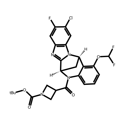 CC(C)(C)OC(=O)N1CC(C(=O)N2c3cccc(OC(F)F)c3[C@H]3C[C@@H]2c2nc4cc(F)c(Cl)cc4n23)C1